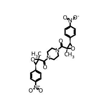 C[C@]1(C(=O)N2CCN(C(=O)[C@@]3(C)O[C@@H]3c3ccc([N+](=O)[O-])cc3)CC2)O[C@@H]1c1ccc([N+](=O)[O-])cc1